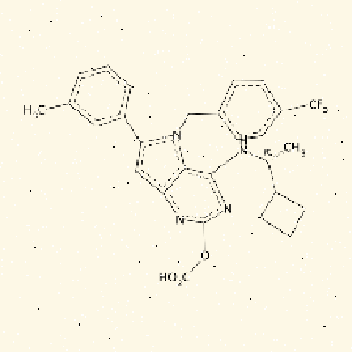 Cc1cccc(-c2cc3nc(OC(=O)O)nc(N[C@H](C)C4CCC4)c3n2Cc2ccc(C(F)(F)F)cc2)c1